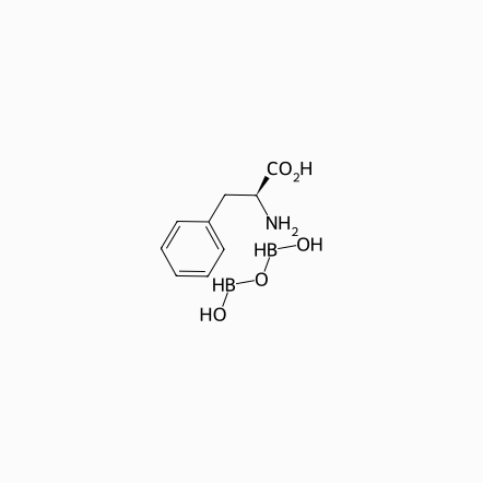 N[C@@H](Cc1ccccc1)C(=O)O.OBOBO